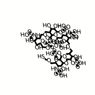 O=C(O)C1OC(OC2C(COS(=O)(=O)O)OC(COCC3COC(OC4C(COS(=O)(=O)O)OC(COCS)C(NS(=O)(=O)O)C4O)C(OS(=O)(=O)O)C3O)C(NS(=O)(=O)O)C2OS(=O)(=O)O)C(O)C(O)C1COCC1OC(COS(=O)(=O)O)C(O)C(O)C1NS(=O)(=O)O